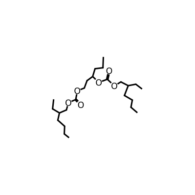 CCCCC(CC)COC(=O)OCCC(CCC)OC(=O)OCC(CC)CCCC